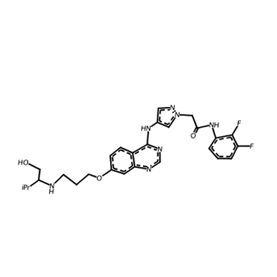 CC(C)C(CO)NCCCOc1ccc2c(Nc3cnn(CC(=O)Nc4cccc(F)c4F)c3)ncnc2c1